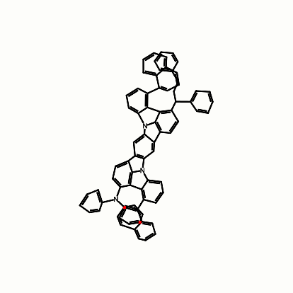 c1ccc(CCC(c2ccccc2)c2ccc3c4cc5c(cc4n4c6cccc(-c7cccc8ccccc78)c6c2c34)c2ccc(N(c3ccccc3)c3ccccc3)c3c4c(-c6cccc7ccccc67)cccc4n5c23)cc1